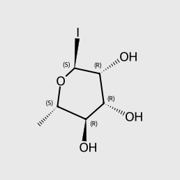 C[C@@H]1O[C@@H](I)[C@H](O)[C@H](O)[C@H]1O